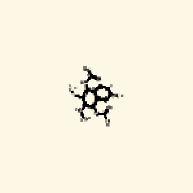 CCCOc1c(OCCC)c(OC(=O)CC)c2cc(Cl)ccc2c1OC(=O)CC